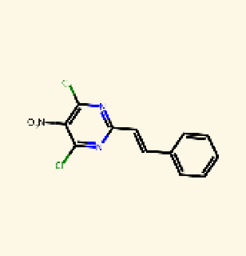 O=[N+]([O-])c1c(Cl)nc(C=Cc2ccccc2)nc1Cl